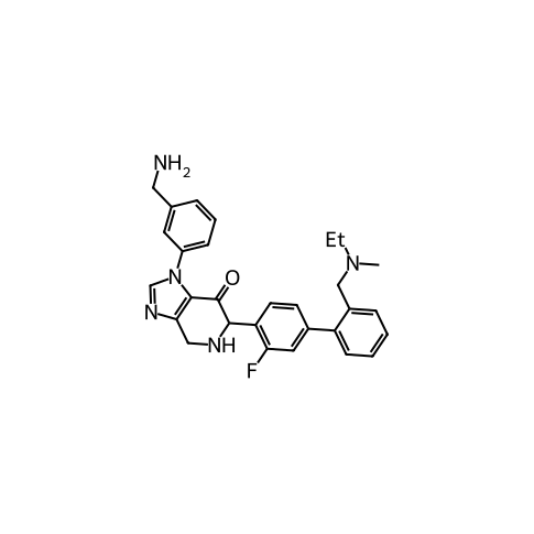 CCN(C)Cc1ccccc1-c1ccc(C2NCc3ncn(-c4cccc(CN)c4)c3C2=O)c(F)c1